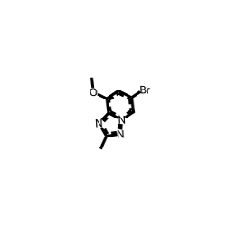 COc1cc(Br)cn2nc(C)nc12